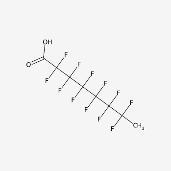 CC(F)(F)C(F)(F)C(F)(F)C(F)(F)C(F)(F)C(F)(F)C(=O)O